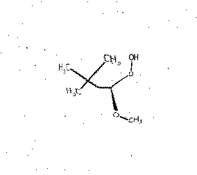 CO[C@H](OO)C(C)(C)C